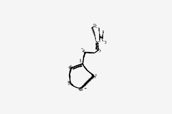 C=CCC1=CC[CH]C1